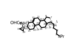 CC(C)CCC[C@@H](C)[C@H]1CCC2C3CC=C4C[C@@H]([N+]5(NC=O)CC5)CC[C@]4(C)C3CC[C@@]21C